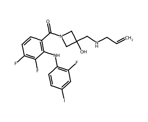 C=CCNCC1(O)CN(C(=O)c2ccc(F)c(F)c2Nc2ccc(I)cc2F)C1